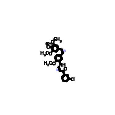 COc1ccc(/C=C\c2cc(OC)c(OC)c(OC)c2)cc1N/C=C\C(=O)C1=CCCC(Cl)=C1